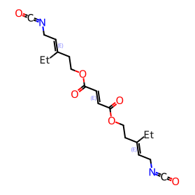 CC/C(=C\CN=C=O)CCOC(=O)/C=C/C(=O)OCC/C(=C/CN=C=O)CC